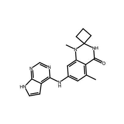 Cc1cc(Nc2ncnc3[nH]ccc23)cc2c1C(=O)NC1(CCC1)N2C